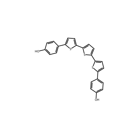 Oc1ccc(-c2ccc(-c3ccc(-c4ccc(-c5ccc(O)cc5)s4)s3)s2)cc1